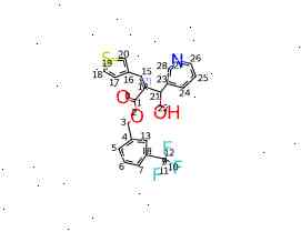 O=C(OCc1cccc(C(F)(F)F)c1)/C(=C\c1ccsc1)C(O)c1cccnc1